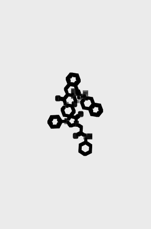 C#Cc1ccccc1C[C@@H](NC(=O)[C@H]1Cc2ccccc2CN1)C(=O)N1CCC2(CC1)C(=O)N(CC(=O)NC1CCCCC1)CN2c1ccccc1